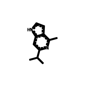 Cc1nc(C(C)C)cc2[nH]ccc12